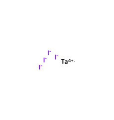 [I-].[I-].[I-].[I-].[Ta+4]